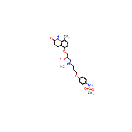 Cc1ccc(OCC(O)CNCCCOc2ccc(NS(C)(=O)=O)cc2)c2c1NC(=O)CC2.Cl